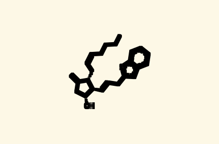 C=C1C[C@@H](O)[C@H](/C=C/Cc2cc3ccccc3s2)[C@H]1C/C=C\CCCC